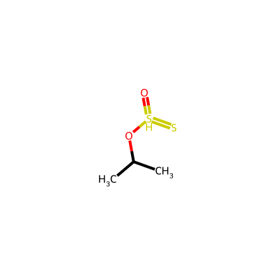 CC(C)O[SH](=O)=S